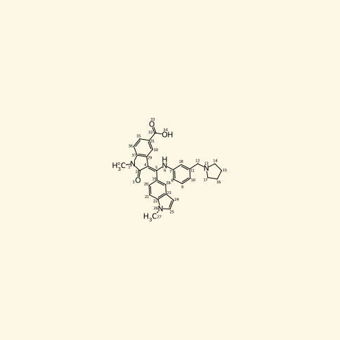 CN1C(=O)C(=C(Nc2cccc(CN3CCCC3)c2)c2ccc3c(ccn3C)c2)c2cc(C(=O)O)ccc21